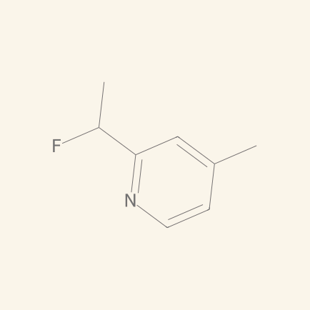 Cc1ccnc(C(C)F)c1